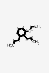 C=CCc1[c]ccc(OCC)c1CC=C